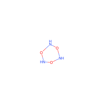 N1ONONO1